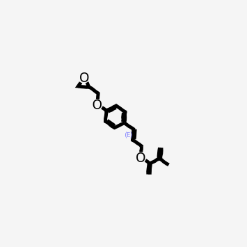 C=C(C)C(=C)OC/C=C/c1ccc(OCC2CO2)cc1